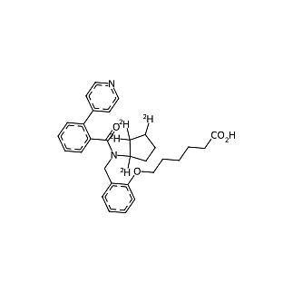 [2H]C1CCC([2H])(N(Cc2ccccc2OCCCCCC(=O)O)C(=O)c2ccccc2-c2ccncc2)C1([2H])[2H]